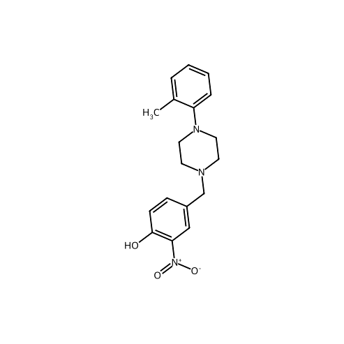 Cc1ccccc1N1CCN(Cc2ccc(O)c([N+](=O)[O-])c2)CC1